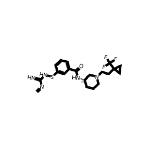 C=NC(=N)NSc1cccc(C(=O)N[C@H]2CCCN(CCC3(C(F)(F)F)CC3)C2)c1